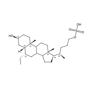 CC[C@H]1CC2C3CC[C@H]([C@H](C)CCCOS(=O)(=O)O)[C@@]3(C)CCC2[C@@]2(C)CC[C@H](O)C[C@@H]12